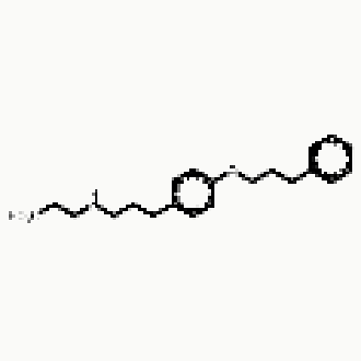 O=C(O)CCNCCCc1ccc(OCCCc2ccccc2)cc1